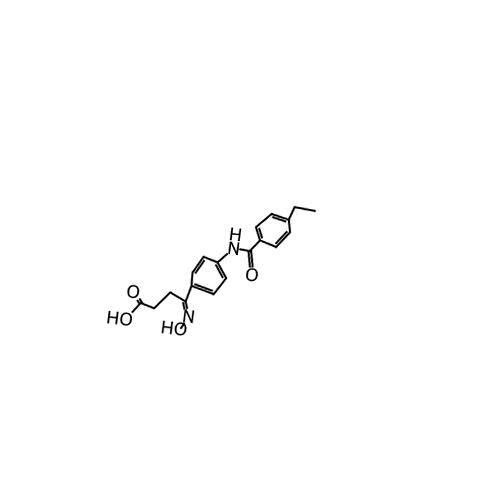 CCc1ccc(C(=O)Nc2ccc(C(CCC(=O)O)=NO)cc2)cc1